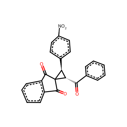 O=C(c1ccccc1)[C@H]1[C@H](c2ccc([N+](=O)[O-])cc2)C12C(=O)c1ccccc1C2=O